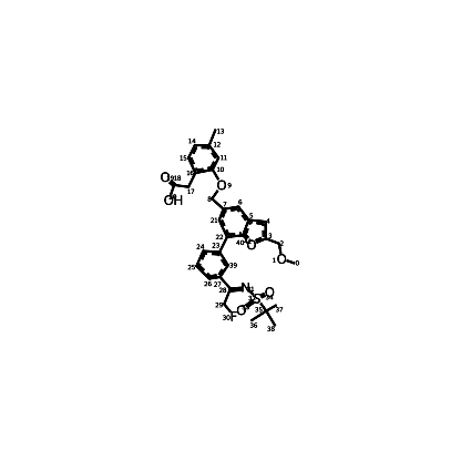 COCc1cc2cc(COc3cc(C)ccc3CC(=O)O)cc(-c3cccc(C(CF)=NS(=O)(=O)C(C)(C)C)c3)c2o1